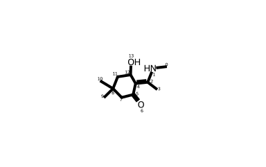 CN/C(C)=C1/C(=O)CC(C)(C)CC1O